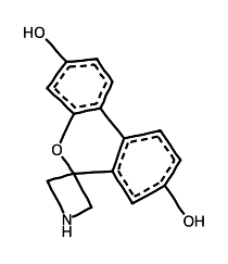 Oc1ccc2c(c1)OC1(CNC1)c1cc(O)ccc1-2